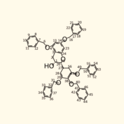 O[C@@H]1Cc2c(OCc3ccccc3)cc(OCc3ccccc3)cc2O[C@H]1C1C=C(OCc2ccccc2)C(OCc2ccccc2)=C(OCc2ccccc2)C1